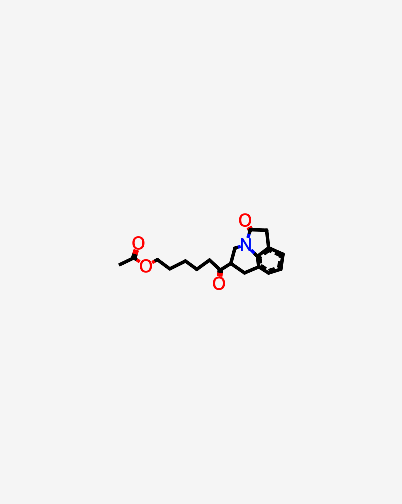 CC(=O)OCCCCCC(=O)C1Cc2cccc3c2N(C1)C(=O)C3